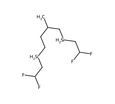 CC(CC[SiH2]CC(F)F)C[SiH2]CC(F)F